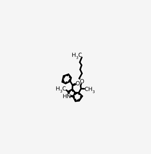 CCCCCCCOCC(C)c1cccc2[nH]c(C)c(C(=O)c3ccccc3)c12